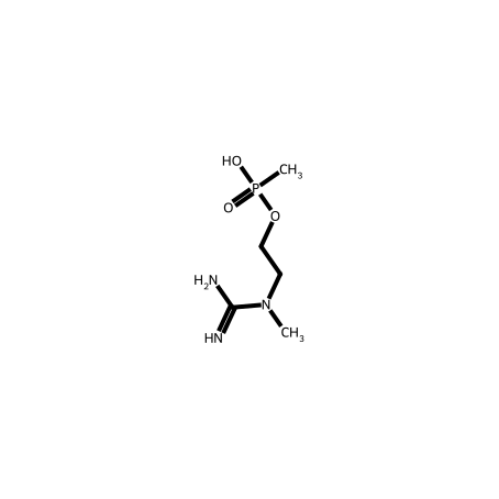 CN(CCOP(C)(=O)O)C(=N)N